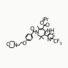 CC1=C(C(=O)OC(C)C)c2[nH]c3sc(C(F)(F)F)nc3c2C(C)(C)CN1C(=O)c1ccc(OCCN2CCOCC2)cc1